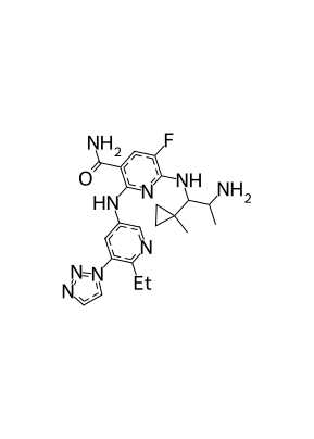 CCc1ncc(Nc2nc(NC(C(C)N)C3(C)CC3)c(F)cc2C(N)=O)cc1-n1ccnn1